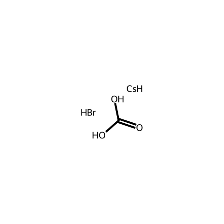 Br.O=C(O)O.[CsH]